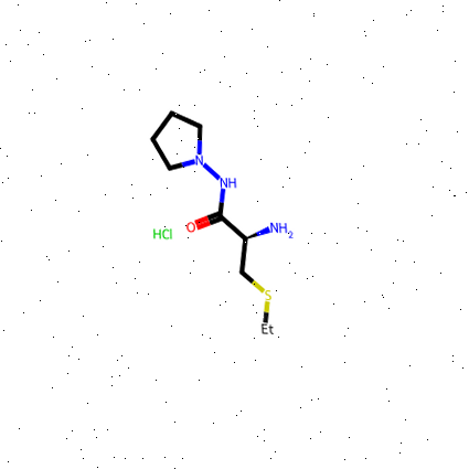 CCSC[C@H](N)C(=O)NN1CCCC1.Cl